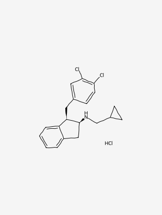 Cl.Clc1ccc(C[C@@H]2c3ccccc3C[C@@H]2NCC2CC2)cc1Cl